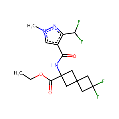 CCOC(=O)C1(NC(=O)c2cn(C)nc2C(F)F)CC2(CC(F)(F)C2)C1